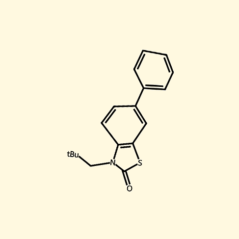 CC(C)(C)Cn1c(=O)sc2cc(-c3ccccc3)ccc21